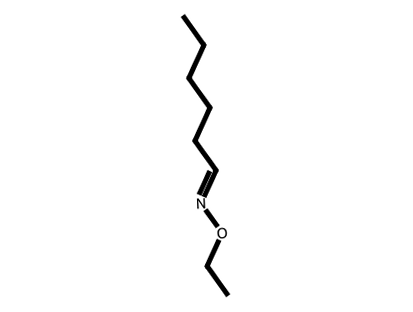 CCCCCC=NOCC